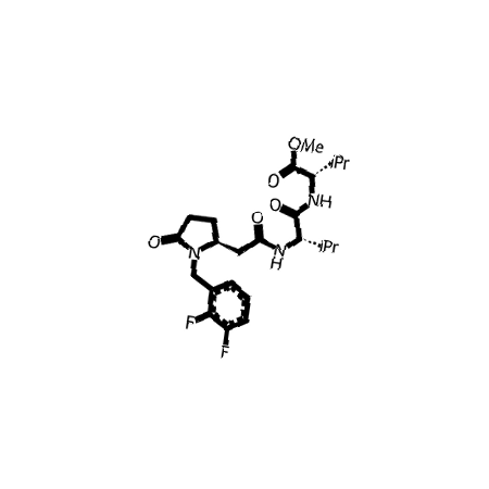 COC(=O)[C@@H](NC(=O)[C@@H](NC(=O)C[C@@H]1CCC(=O)N1Cc1cccc(F)c1F)C(C)C)C(C)C